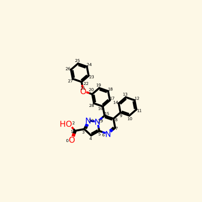 O=C(O)c1cc2ncc(-c3ccccc3)c(-c3cccc(Oc4ccccc4)c3)n2n1